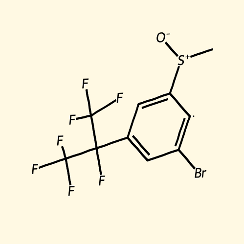 C[S+]([O-])c1[c]c(Br)cc(C(F)(C(F)(F)F)C(F)(F)F)c1